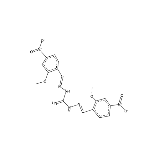 COc1cc([N+](=O)[O-])ccc1C=NNC(=N)NN=Cc1ccc([N+](=O)[O-])cc1OC